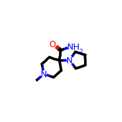 CN1CCC(C(N)=O)(N2CCCC2)CC1